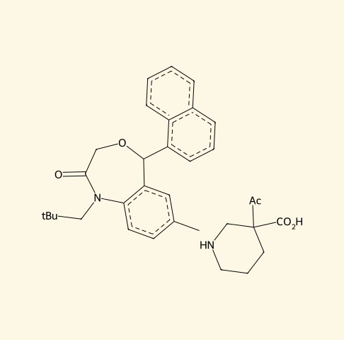 CC(=O)C1(C(=O)O)CCCNC1.Cc1ccc2c(c1)C(c1cccc3ccccc13)OCC(=O)N2CC(C)(C)C